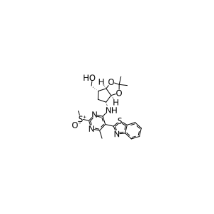 Cc1nc([S+](C)[O-])nc(N[C@@H]2C[C@H](CO)[C@H]3OC(C)(C)O[C@H]32)c1-c1nc2ccccc2s1